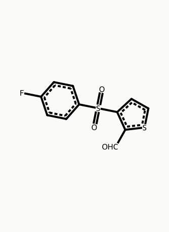 O=Cc1sccc1S(=O)(=O)c1ccc(F)cc1